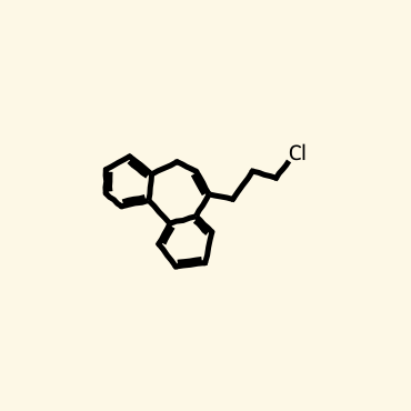 ClCCCC1=CCc2ccccc2-c2ccccc21